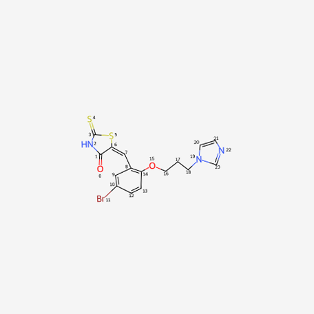 O=C1NC(=S)SC1=Cc1cc(Br)ccc1OCCCn1ccnc1